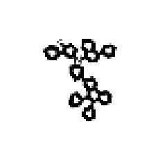 c1ccc(-c2ccc(N(c3cccc(-c4ccc5c(c4)c(-c4ccccc4)c(-c4ccccc4)c4ccccc45)c3)c3ccc4sc5ccccc5c4c3)c3ccccc23)cc1